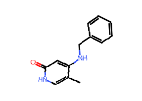 Cc1c[nH]c(=O)cc1NCc1ccccc1